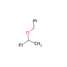 C[CH]C(C)OCC(C)C